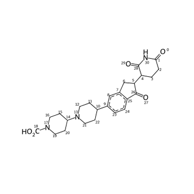 O=C1CCC(C2Cc3cc(C4CCN(C5CCN(C(=O)O)CC5)CC4)ccc3C2=O)C(=O)N1